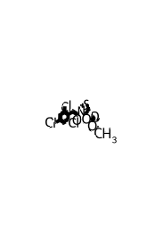 CCOC(=O)OC1CSCN1C(=O)Cc1c(Cl)cc(Cl)cc1Cl